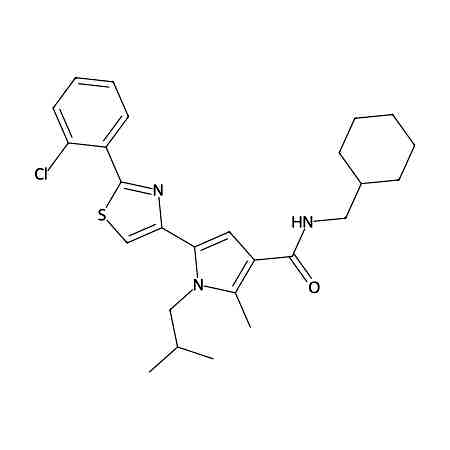 Cc1c(C(=O)NCC2CCCCC2)cc(-c2csc(-c3ccccc3Cl)n2)n1CC(C)C